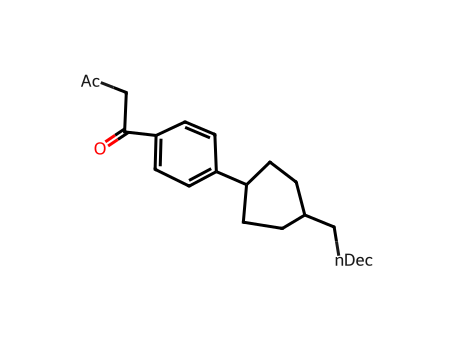 CCCCCCCCCCCC1CCC(c2ccc(C(=O)CC(C)=O)cc2)CC1